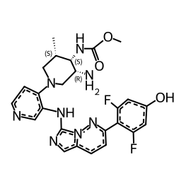 COC(=O)N[C@@H]1[C@H](N)CN(c2ccncc2Nc2ncc3ccc(-c4c(F)cc(O)cc4F)nn23)C[C@@H]1C